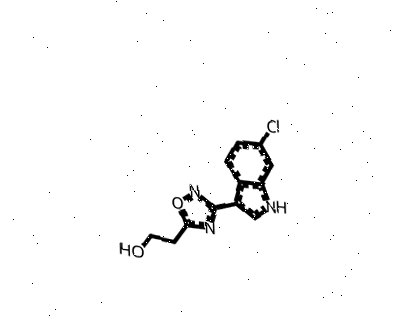 OCCc1nc(-c2c[nH]c3cc(Cl)ccc23)no1